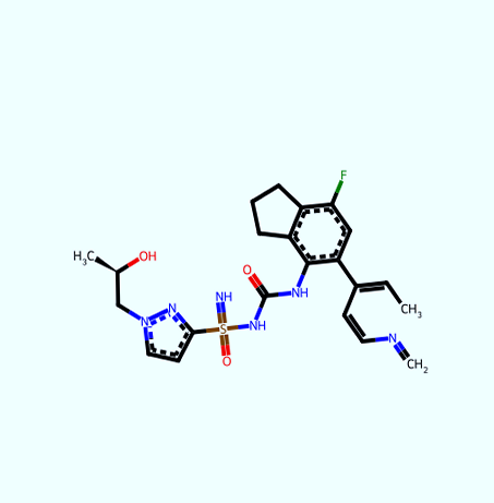 C=N/C=C\C(=C/C)c1cc(F)c2c(c1NC(=O)NS(=N)(=O)c1ccn(C[C@@H](C)O)n1)CCC2